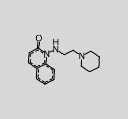 O=c1ccc2ccccc2n1NCCN1CCCCC1